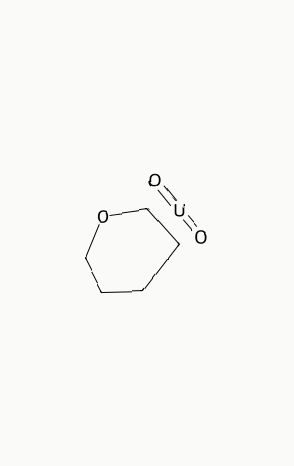 C1CCOCC1.[O]=[U]=[O]